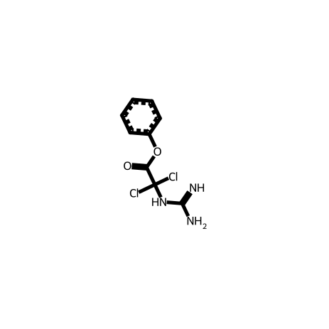 N=C(N)NC(Cl)(Cl)C(=O)Oc1ccccc1